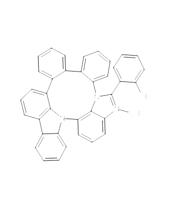 Cc1ccccc1-c1n2c3ccccc3c3ccccc3c3cccc4c5ccccc5n(c5cccc(c52)[n+]1C)c34